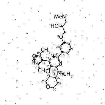 CNCC(O)COc1cccc(-c2nc(-c3c(C)noc3C)c(C)c(N(C)C3CCOCC3)n2)c1